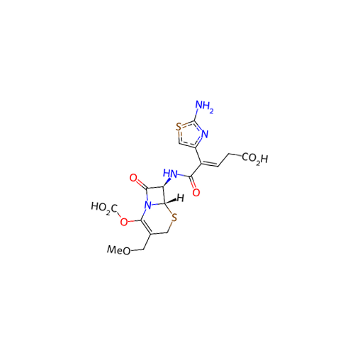 COCC1=C(OC(=O)O)N2C(=O)[C@@H](NC(=O)C(=CCC(=O)O)c3csc(N)n3)[C@@H]2SC1